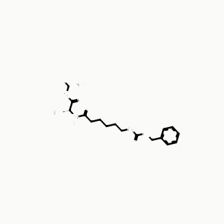 CC(C)[C@H](NC(=O)[C@@H](NC(=O)CCCCCNC(=O)OCc1ccccc1)C(C)C)C(=O)O